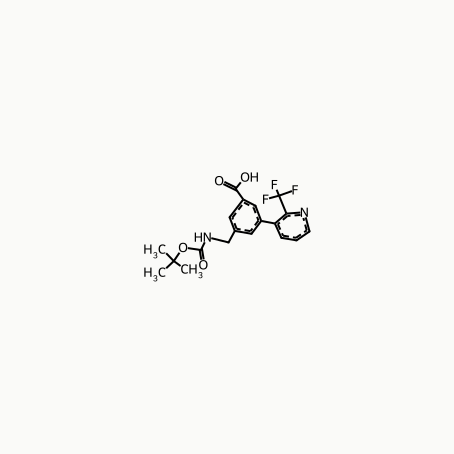 CC(C)(C)OC(=O)NCc1cc(C(=O)O)cc(-c2cccnc2C(F)(F)F)c1